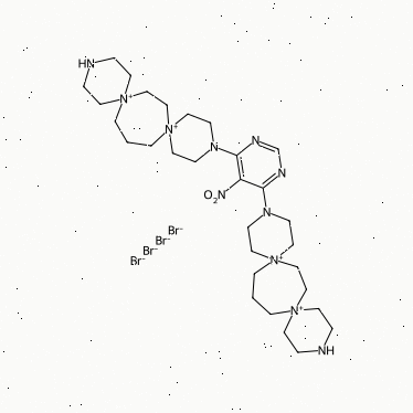 O=[N+]([O-])c1c(N2CC[N+]3(CCC[N+]4(CCNCC4)CC3)CC2)ncnc1N1CC[N+]2(CCC[N+]3(CCNCC3)CC2)CC1.[Br-].[Br-].[Br-].[Br-]